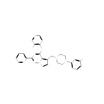 Oc1cccc(N2CCN(Cc3ccn4nc(-c5ccccn5)nc(Nc5ccncc5F)c34)CC2)c1